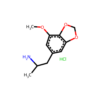 COc1cc(CC(C)N)cc2c1OCO2.Cl